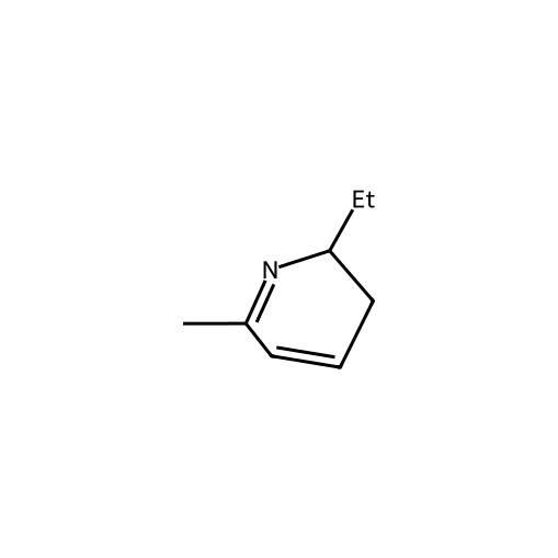 CCC1CC=CC(C)=N1